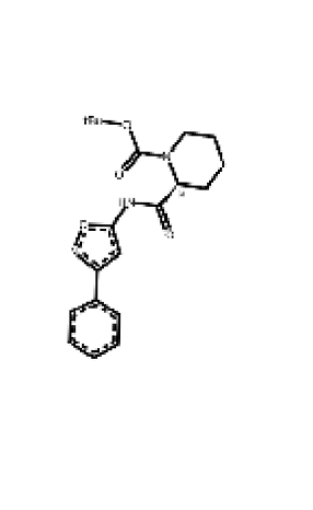 CC(C)(C)OC(=O)N1CCCC[C@H]1C(=O)Nc1cc(-c2ccccc2)no1